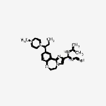 CCC(c1ccc2c(c1)-c1nc(/C(=N/C=N)NC(C)C)cn1CCO2)N1CCN(C)CC1